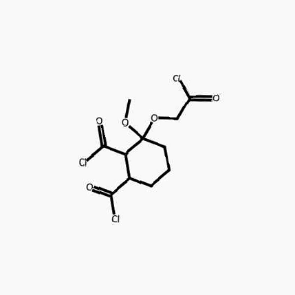 COC1(OCC(=O)Cl)CCCC(C(=O)Cl)C1C(=O)Cl